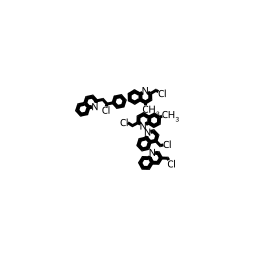 Cc1cc(CCl)nc2ccccc12.Cc1ccc2nc(CCl)ccc2c1.ClC(Cc1ccc2ccccc2n1)c1ccccc1.ClCc1ccnc2ccccc12.ClCc1cnc2ccccc2c1